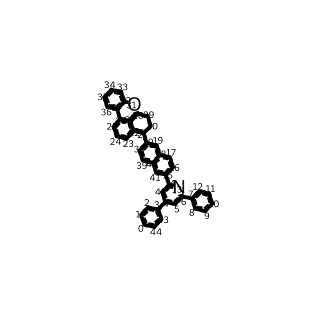 c1ccc(-c2cc(-c3ccccc3)nc(-c3ccc4cc(C5=c6cccc7c6=C(CC5)Oc5ccccc5-7)ccc4c3)c2)cc1